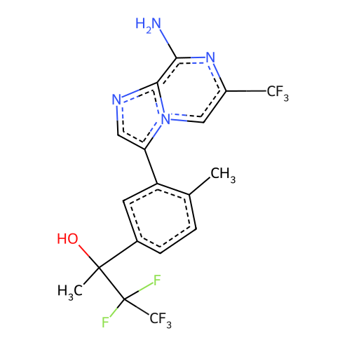 Cc1ccc(C(C)(O)C(F)(F)C(F)(F)F)cc1-c1cnc2c(N)nc(C(F)(F)F)cn12